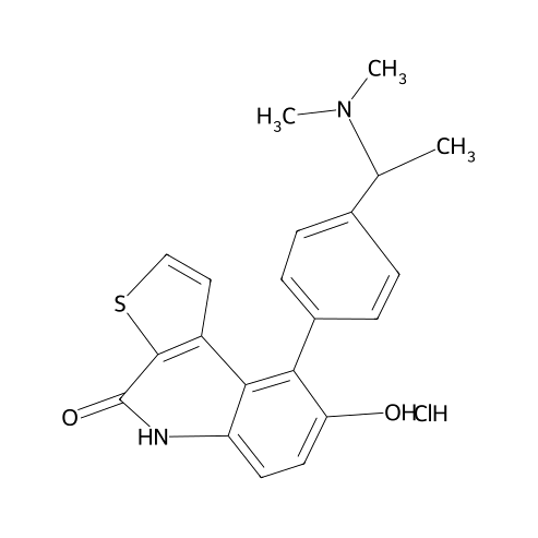 CC(c1ccc(-c2c(O)ccc3[nH]c(=O)c4sccc4c23)cc1)N(C)C.Cl